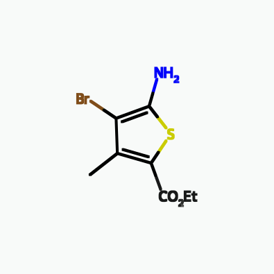 CCOC(=O)c1sc(N)c(Br)c1C